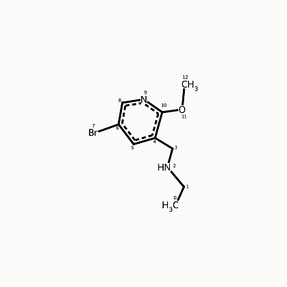 CCNCc1cc(Br)cnc1OC